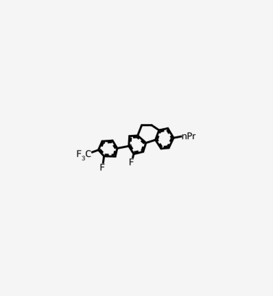 CCCc1ccc2c(c1)CCc1cc(-c3ccc(C(F)(F)F)c(F)c3)c(F)cc1-2